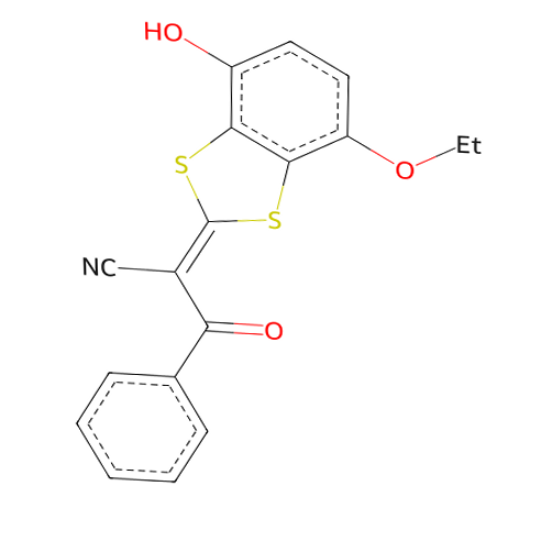 CCOc1ccc(O)c2c1S/C(=C(/C#N)C(=O)c1ccccc1)S2